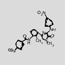 Cc1c(NC(=O)c2ccc(C(C)(C)C)cc2)cccc1-c1cn(C)c(=O)c(Nc2ccc([N+](=O)[O-])cc2)n1